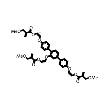 C=C(COC)C(=O)O/C=C\Oc1ccc(-c2ccc(-c3ccc(O/C=C\OC(=O)C(=C)COC)cc3)c(O/C=C\OC(=O)C(=C)COC)c2)cc1